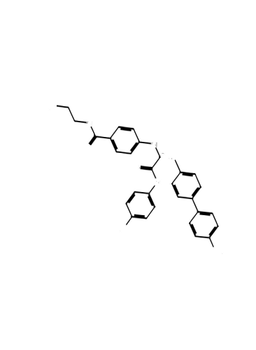 CCOC(=O)CCNC(=O)c1ccc(N[C@H](Cc2ccc(-c3ccc(C(F)(F)F)cc3)cc2)C(=O)Nc2ccc(C(F)(F)F)cc2)cc1